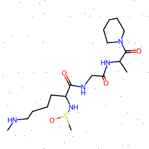 CNCCCCC(N[S+](C)[O-])C(=O)NCC(=O)NC(C)C(=O)N1CCCCC1